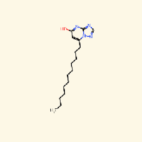 CCCCCCCCCCCCc1cc(O)nc2ncnn12